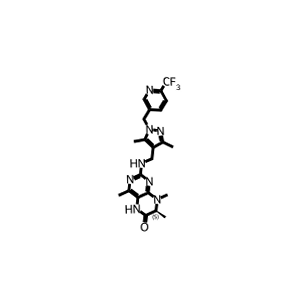 Cc1nn(Cc2ccc(C(F)(F)F)nc2)c(C)c1CNc1nc(C)c2c(n1)N(C)[C@@H](C)C(=O)N2